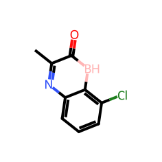 CC1=Nc2cccc(Cl)c2BC1=O